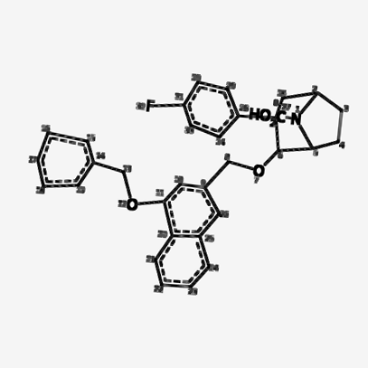 O=C(O)N1C2CCC1C(OCc1cc(OCc3ccccc3)c3ccccc3c1)C(c1ccc(F)cc1)C2